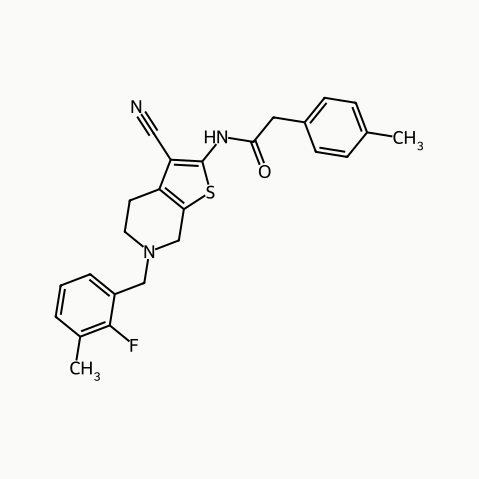 Cc1ccc(CC(=O)Nc2sc3c(c2C#N)CCN(Cc2cccc(C)c2F)C3)cc1